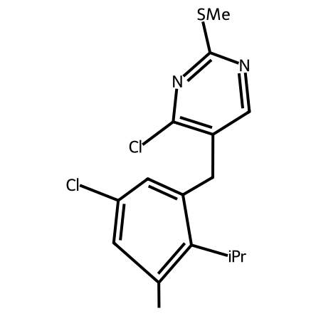 CSc1ncc(Cc2cc(Cl)cc(C)c2C(C)C)c(Cl)n1